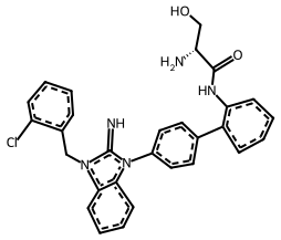 N=c1n(Cc2ccccc2Cl)c2ccccc2n1-c1ccc(-c2ccccc2NC(=O)[C@H](N)CO)cc1